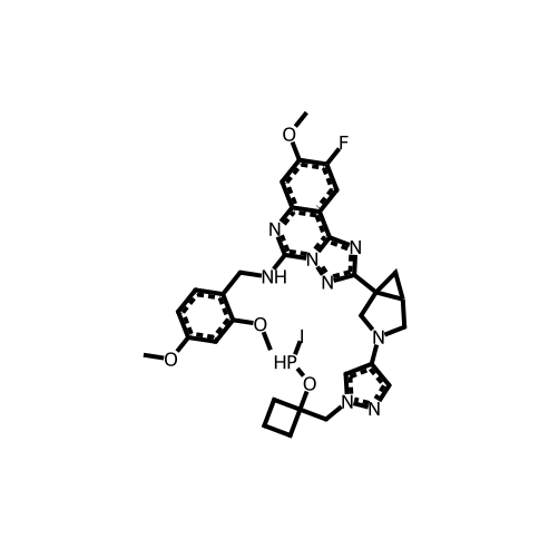 COc1ccc(CNc2nc3cc(OC)c(F)cc3c3nc(C45CC4CN(c4cnn(CC6(OPI)CCC6)c4)C5)nn23)c(OC)c1